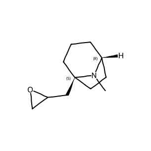 CN1[C@@H]2CCC[C@@]1(CC1CO1)CC2